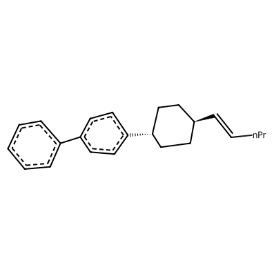 CCC/C=C/[C@H]1CC[C@H](c2ccc(-c3ccccc3)cc2)CC1